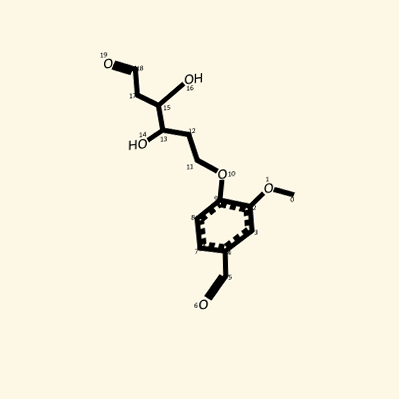 COc1cc(C=O)ccc1OCCC(O)C(O)C[C]=O